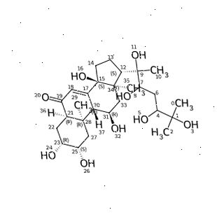 CC(C)(O)C(O)CC(O)C(C)(O)[C@H]1CC[C@@]2(O)C3=CC(=O)[C@@H]4C[C@@H](O)[C@@H](O)C[C@]4(C)[C@H]3[C@H](O)C[C@]12C